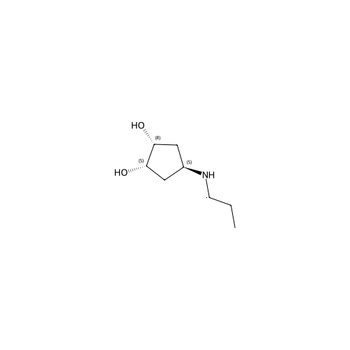 CC[CH]N[C@@H]1C[C@@H](O)[C@@H](O)C1